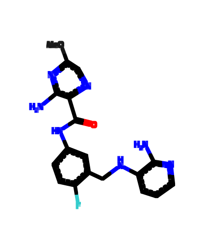 COc1cnc(C(=O)Nc2ccc(F)c(CNc3cccnc3N)c2)c(N)n1